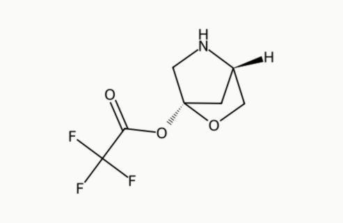 O=C(O[C@@]12CN[C@H](CO1)C2)C(F)(F)F